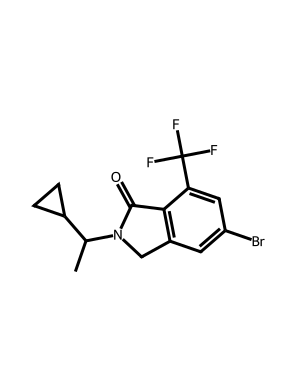 CC(C1CC1)N1Cc2cc(Br)cc(C(F)(F)F)c2C1=O